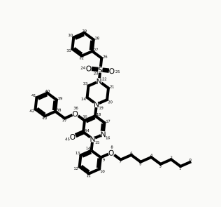 CCCCCCCCOc1ccccc1-n1ncc(N2CCN(S(=O)(=O)Cc3ccccc3)CC2)c(OCc2ccccc2)c1=O